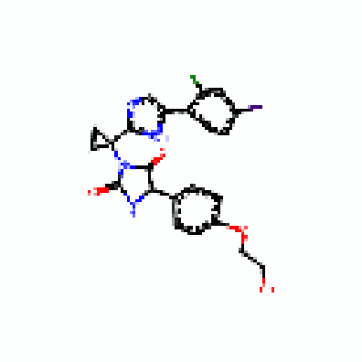 O=C1NC(c2ccc(OCCO)cc2)C(=O)N1C1(c2ncc(-c3ccc(I)cc3F)[nH]2)CC1